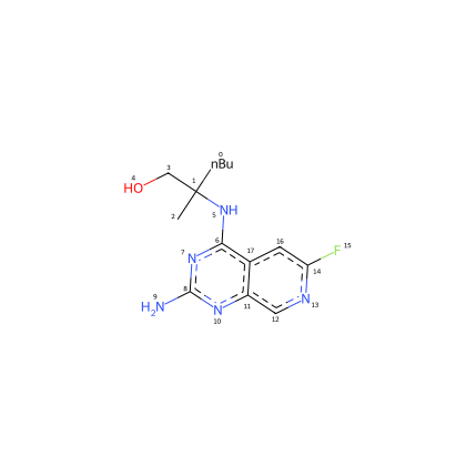 CCCCC(C)(CO)Nc1nc(N)nc2cnc(F)cc12